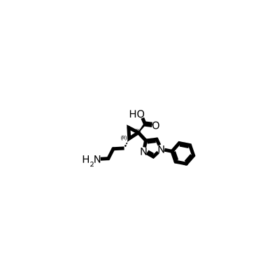 NCCC[C@@H]1C[C@]1(C(=O)O)c1cn(-c2ccccc2)cn1